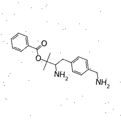 CC(C)(OC(=O)c1ccccc1)C(N)Cc1ccc(CN)cc1